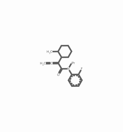 C=C=C(C(=O)N(c1ccccc1F)C(C)C)C1CCCCC1C